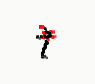 CCCCC=CC=CO[C@H]1C(OC)O[C@H](CO)[C@@H](O)[C@@H]1O